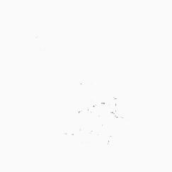 CC1=C[C@H]2[C@@]3(O)[C@H](C)C[C@]4(OC(=O)[C@@H](N)CCCCCCc5ccc(C(F)(F)F)cc5)[C@H]([C@@H]3C=C(CO)C[C@]2(O)C1=O)C4(C)C